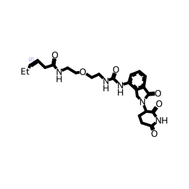 CC/C=C\CC(=O)NCCOCCNC(=O)Nc1cccc2c1CN(C1CCC(=O)NC1=O)C2=O